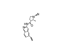 C#Cc1ccc2cnc(NC(=O)[C@H]3CCN(C#N)[C@H]3C)cc2c1